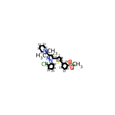 CC(C)(c1cc(-c2ccc(-c3cccc(S(C)(=O)=O)c3)s2)n(-c2ccccc2Cl)n1)N1C=CC=CC1